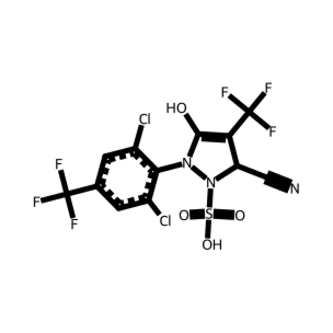 N#CC1C(C(F)(F)F)=C(O)N(c2c(Cl)cc(C(F)(F)F)cc2Cl)N1S(=O)(=O)O